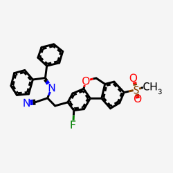 CS(=O)(=O)c1ccc2c(c1)COc1cc(CC(C#N)N=C(c3ccccc3)c3ccccc3)c(F)cc1-2